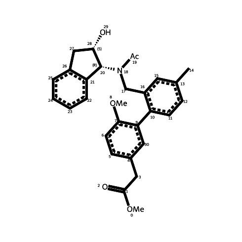 COC(=O)Cc1ccc(OC)c(-c2ccc(C)cc2CN(C(C)=O)[C@@H]2c3ccccc3C[C@@H]2O)c1